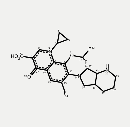 O=C(O)c1cn(C2CC2)c2c(OC(F)F)c(N3CC4CCCNC4C3)c(F)cc2c1=O